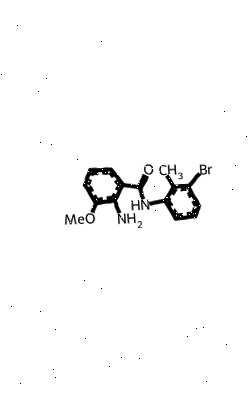 COc1cccc(C(=O)Nc2cccc(Br)c2C)c1N